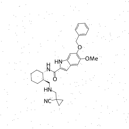 COc1cc2cc(C(=O)N[C@H]3CCCC[C@@H]3CNCC3(C#N)CC3)[nH]c2cc1OCc1ccccc1